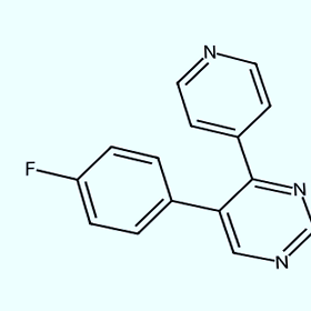 Fc1ccc(-c2cncnc2-c2ccncc2)cc1